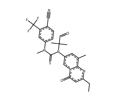 CCc1cc(=O)n2cc(N(C(=S)N(C)c3ccc(C#N)c(C(F)(F)F)c3)C(C)(C)C=O)cc(C)c2n1